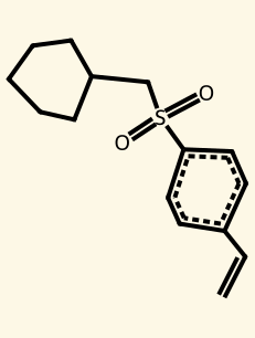 C=Cc1ccc(S(=O)(=O)CC2CCCCC2)cc1